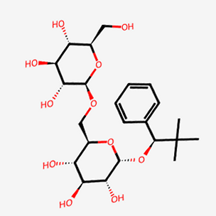 CC(C)(C)[C@@H](O[C@H]1O[C@H](CO[C@@H]2O[C@H](CO)[C@@H](O)[C@H](O)[C@H]2O)[C@@H](O)[C@H](O)[C@H]1O)c1ccccc1